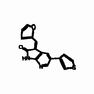 O=C1Nc2ncc(-c3ccsc3)cc2C1=Cc1ccco1